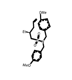 C=CC[C@H](CC)CS(=O)(=O)N(Cc1ccc(OC)cc1)Cc1ccc(OC)cc1